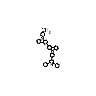 Cc1ccc(-n2c3ccccc3c3cc(-c4ccc5c(c4)c4ccccc4n5-c4ccc(-c5cc(-c6ccccc6)nc(-c6ccccc6)c5)cc4)ccc32)cc1